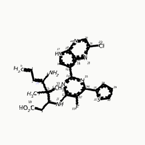 C=C/C=C(\N)C(C)(C)C(CC(=O)O)Nc1nc(-c2c[nH]c3ncc(Cl)nc23)nc(-c2cccs2)c1F